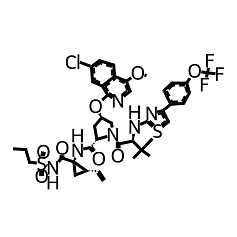 C=C[C@@H]1C[C@]1(NC(=O)[C@@H]1C[C@@H](Oc2ncc(OC)c3ccc(Cl)cc23)CN1C(=O)[C@@H](Nc1nc(-c2ccc(OC(F)(F)F)cc2)cs1)C(C)(C)C)C(=O)NS(=O)(=O)CCC